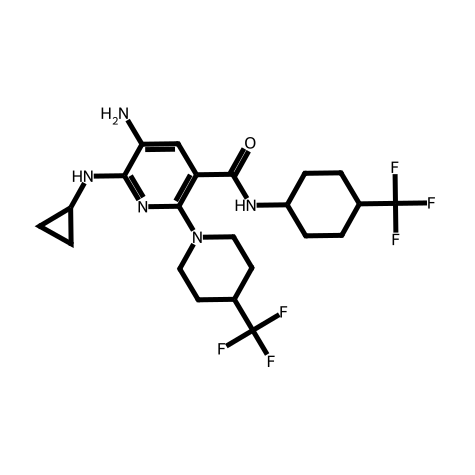 Nc1cc(C(=O)NC2CCC(C(F)(F)F)CC2)c(N2CCC(C(F)(F)F)CC2)nc1NC1CC1